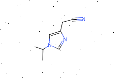 CC(C)n1cnc(CC#N)c1